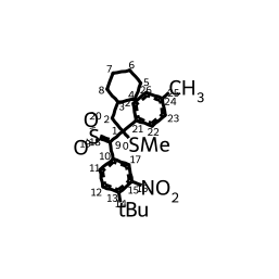 CSC(CC1CCCCC1)(C(c1ccc(C(C)(C)C)c([N+](=O)[O-])c1)=S(=O)=O)c1ccc(C)cc1